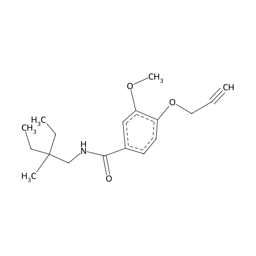 C#CCOc1ccc(C(=O)NCC(C)(CC)CC)cc1OC